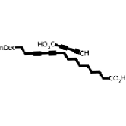 C#CC#CC(=O)O.CCCCCCCCCCCCC#CC#CCCCCCCCCC(=O)O